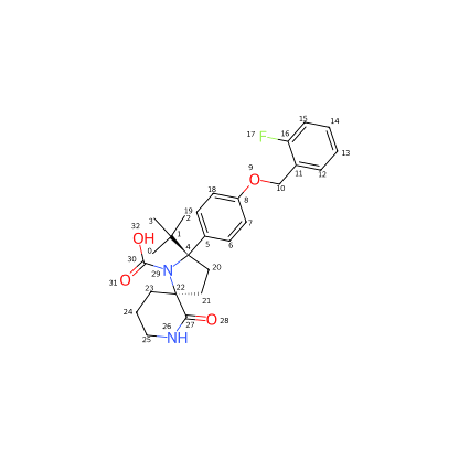 CC(C)(C)[C@@]1(c2ccc(OCc3ccccc3F)cc2)CC[C@]2(CCCNC2=O)N1C(=O)O